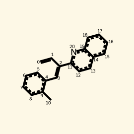 C=C/C(=C\c1ccccc1C)c1ccc2ccccc2n1